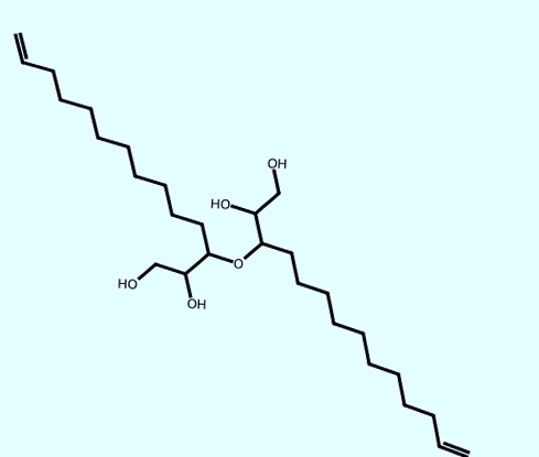 C=CCCCCCCCCCC(OC(CCCCCCCCCC=C)C(O)CO)C(O)CO